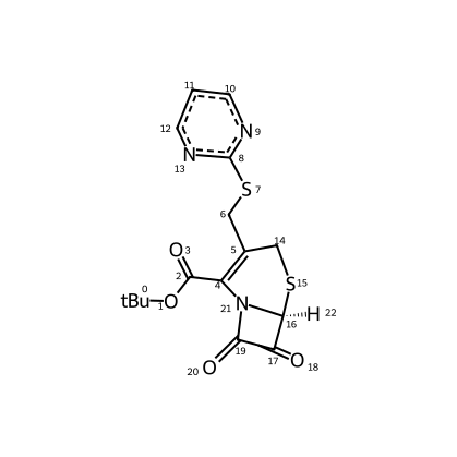 CC(C)(C)OC(=O)C1=C(CSc2ncccn2)CS[C@H]2C(=O)C(=O)N12